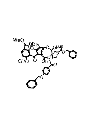 CCCCCCCCCCOc1cc2cc(c1C(=O)c1c(C=O)ccc3c1OC3OC)C(=O)O[C@]1(CN(C(=O)OCc3ccccc3)C[C@@H]1NC(=O)c1ccc(OCc3ccccc3)cc1)[C@H](OC)O2